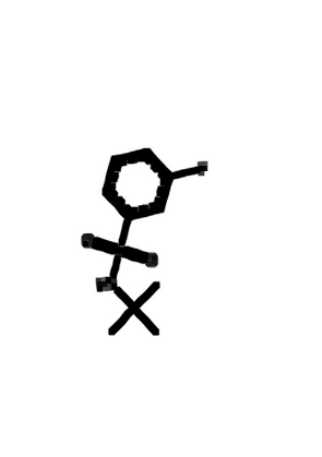 CC(C)(C)NS(=O)(=O)c1cccc(F)c1